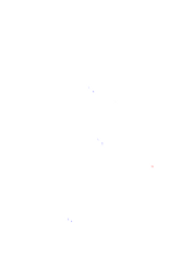 O=[N+]([O-])C1=CC(=NCc2ccccn2)C(O)C=C1